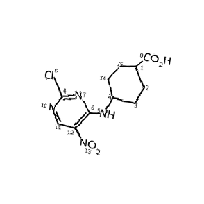 O=C(O)C1CCC(Nc2nc(Cl)ncc2[N+](=O)[O-])CC1